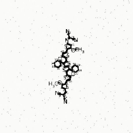 COc1cc(C=C(C#N)C#N)sc1-c1cc2c(s1)-c1sc3c4c(sc3c1C1(CCCCC1)O2)-c1sc(-c2sc(N=C(C#N)C#N)cc2OC)cc1OC41CCCCC1